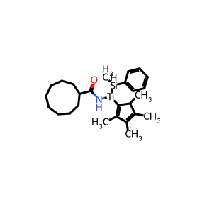 CC1=C(C)C(C)[C]([Ti]([NH]C(=O)C2CCCCCCCC2)[SiH](C)c2ccccc2)=C1C